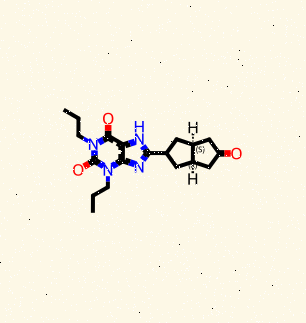 CCCn1c(=O)c2[nH]c(C3C[C@H]4CC(=O)C[C@H]4C3)nc2n(CCC)c1=O